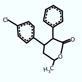 CC1CC(c2ccc(Cl)cc2)C(c2ccccc2)C(=O)O1